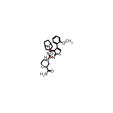 COc1ccccc1-c1csc2nc(N3CCOC(C(N)=O)C3)nc(N3C4CCC3CC(OC)C4)c12